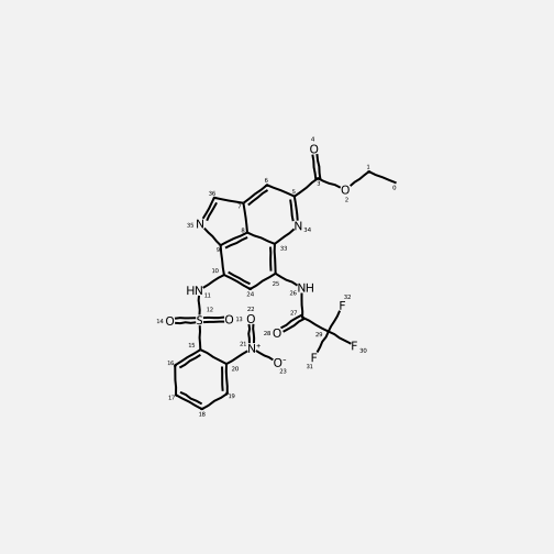 CCOC(=O)c1cc2c3c(c(NS(=O)(=O)c4ccccc4[N+](=O)[O-])cc(NC(=O)C(F)(F)F)c3n1)N=C2